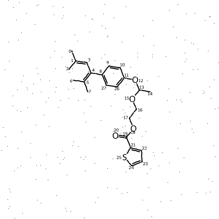 CC(C)=CC(=C(C)C)c1ccc(OC(C)OCCOC(=O)c2cccs2)cc1